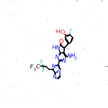 C[C@@]1(c2ccc(F)c(O)c2)C(=O)Nc2nc(-c3cn4ccnc4c(CCC(F)(F)C(F)(F)F)n3)nc(N)c21